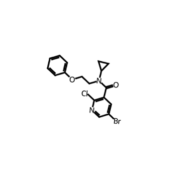 O=C(c1cc(Br)cnc1Cl)N(CCOc1ccccc1)C1CC1